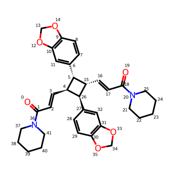 O=C(/C=C/[C@H]1[C@H](c2ccc3c(c2)OCO3)[C@H](/C=C/C(=O)N2CCCCC2)[C@H]1c1ccc2c(c1)OCO2)N1CCCCC1